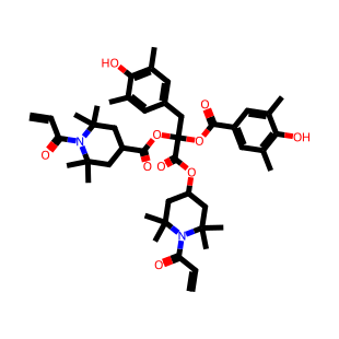 C=CC(=O)N1C(C)(C)CC(OC(=O)C(Cc2cc(C)c(O)c(C)c2)(OC(=O)c2cc(C)c(O)c(C)c2)OC(=O)C2CC(C)(C)N(C(=O)C=C)C(C)(C)C2)CC1(C)C